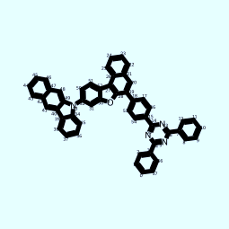 c1ccc(-c2nc(-c3ccccc3)nc(-c3ccc(-c4cc5ccccc5c5c4oc4cc(-n6c7ccccc7c7cc8ccccc8cc76)ccc45)cc3)n2)cc1